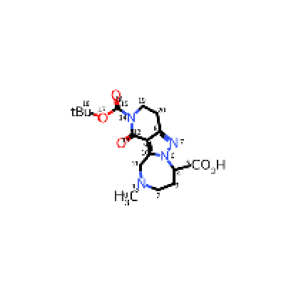 CN1CCC(C(=O)O)n2nc3c(c2C1)C(=O)N(C(=O)OC(C)(C)C)CC3